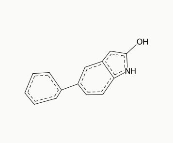 Oc1cc2cc(-c3ccccc3)ccc2[nH]1